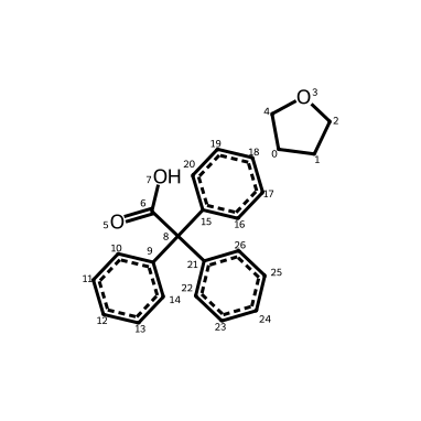 C1CCOC1.O=C(O)C(c1ccccc1)(c1ccccc1)c1ccccc1